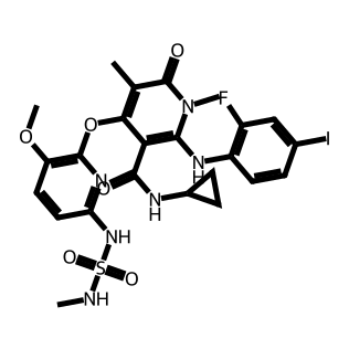 CNS(=O)(=O)Nc1ccc(OC)c(Oc2c(C(=O)NC3CC3)c(Nc3ccc(I)cc3F)n(C)c(=O)c2C)n1